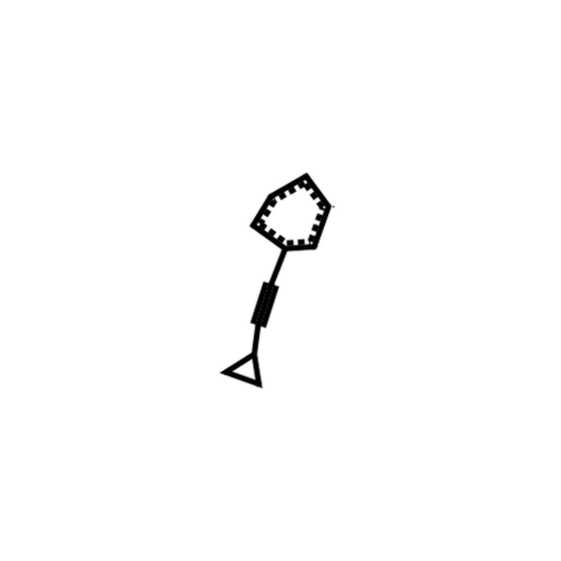 C(#CC1CC1)c1c[c]ccc1